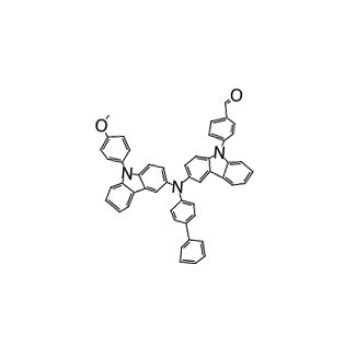 COc1ccc(-n2c3ccccc3c3cc(N(c4ccc(-c5ccccc5)cc4)c4ccc5c(c4)c4ccccc4n5-c4ccc(C=O)cc4)ccc32)cc1